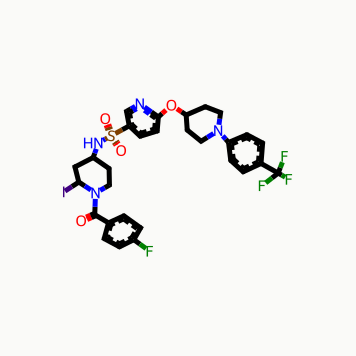 O=C(c1ccc(F)cc1)N1CCC(NS(=O)(=O)c2ccc(OC3CCN(c4ccc(C(F)(F)F)cc4)CC3)nc2)CC1I